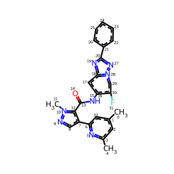 Cc1cc(C)nc(-c2cnn(C)c2C(=O)Nc2cc3nc(-c4ccccc4)nn3cc2F)c1